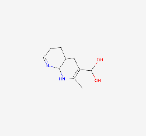 CC1=C(C(O)O)CC2CCC=NC2N1